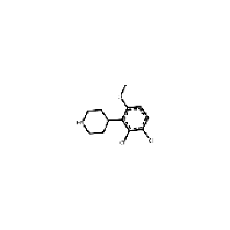 COc1ccc(Cl)c(Cl)c1C1CCNCC1